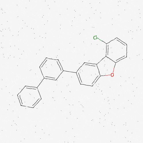 Clc1cccc2oc3ccc(-c4cccc(-c5ccccc5)c4)cc3c12